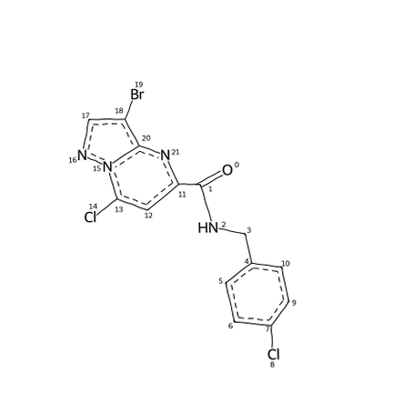 O=C(NCc1ccc(Cl)cc1)c1cc(Cl)n2ncc(Br)c2n1